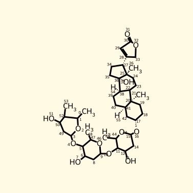 CC1OC(OC2C(O)CC(OC3C(O)CC(O[C@H]4CC[C@]5(C)C6CC[C@]7(C)[C@@H](C8=CC(=O)OC8)CC[C@]7(O)[C@@H]6CC[C@@H]5C4)OC3C)OC2C)CC(O)C1C